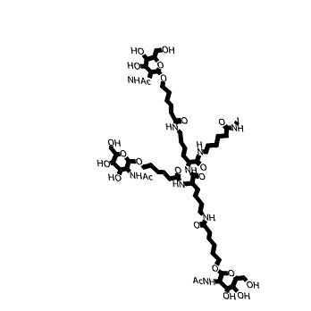 CC(=O)NC1C(OCCCCCC(=O)NCCCCC(NC(=O)CCCCCOC2OC(CO)C(O)C(O)C2NC(C)=O)C(=O)NC(CCCCNC(=O)CCCCCOC2OC(CO)C(O)C(O)C2NC(C)=O)C(=O)NCCCCCC(=O)NI)OC(CO)C(O)C1O